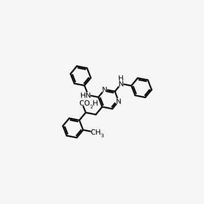 Cc1ccccc1C(Cc1cnc(Nc2ccccc2)nc1Nc1ccccc1)C(=O)O